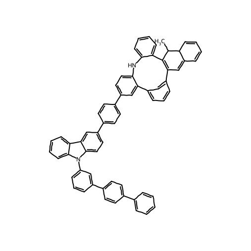 CC1C2=C(C=C3C=CC=CC31)c1cccc(c1)-c1cc(-c3ccc(-c4ccc5c(c4)c4ccccc4n5-c4cccc(-c5ccc(-c6ccccc6)cc5)c4)cc3)ccc1Nc1ccccc12